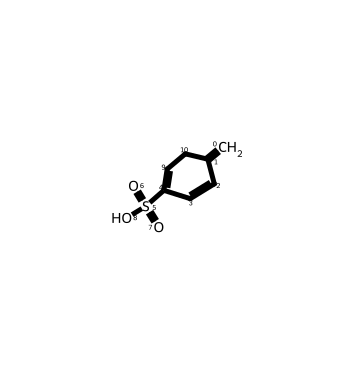 C=C1C=CC(S(=O)(=O)O)=CC1